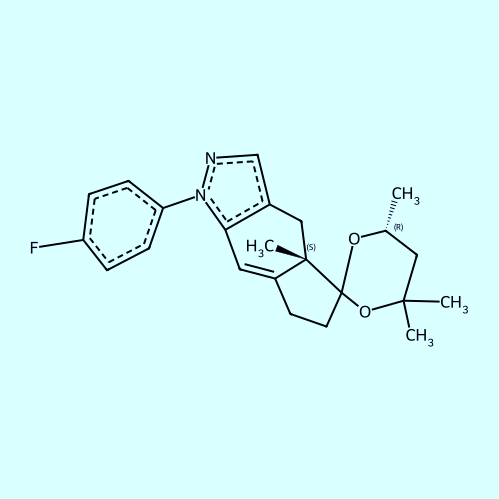 C[C@@H]1CC(C)(C)OC2(CCC3=Cc4c(cnn4-c4ccc(F)cc4)C[C@@]32C)O1